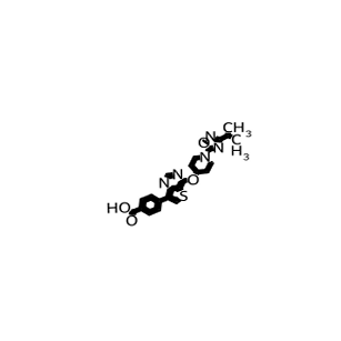 CC(C)c1noc(N2CCC(Oc3ncnc4c(-c5ccc(C(=O)O)cc5)csc34)CC2)n1